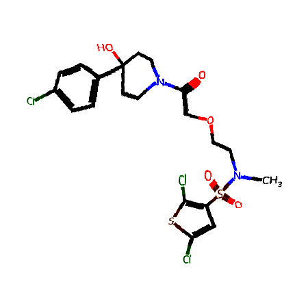 CN(CCOCC(=O)N1CCC(O)(c2ccc(Cl)cc2)CC1)S(=O)(=O)c1cc(Cl)sc1Cl